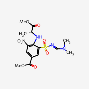 COC(=O)c1cc([N+](=O)[O-])c(N[C@H](C)C(=O)OC)c(S(=O)(=O)/N=C/N(C)C)c1